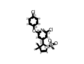 CC1(C)C=C[SH](S(C)(=O)=O)C1c1cc(Cl)nc(Oc2ccc(Cl)cc2)c1